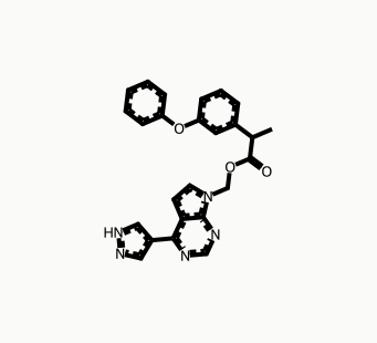 CC(C(=O)OCn1ccc2c(-c3cn[nH]c3)ncnc21)c1cccc(Oc2ccccc2)c1